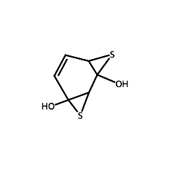 OC12C=CC3SC3(O)C1S2